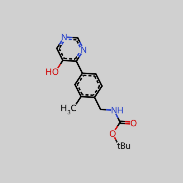 Cc1cc(-c2ncncc2O)ccc1CNC(=O)OC(C)(C)C